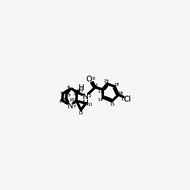 O=C(N[C@H]1C2CCN(CC2)C12CC2)c1ccc(Cl)cc1